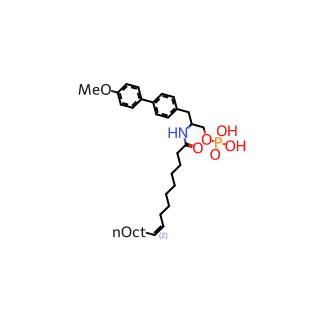 CCCCCCCC/C=C\CCCCCCCC(=O)NC(COP(=O)(O)O)Cc1ccc(-c2ccc(OC)cc2)cc1